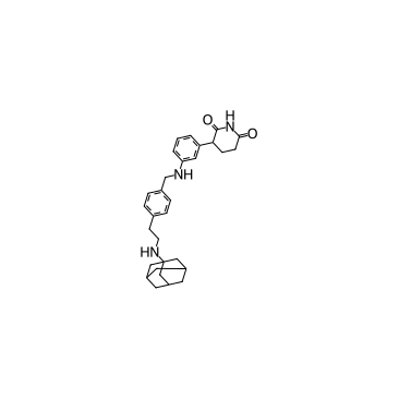 O=C1CCC(c2cccc(NCc3ccc(CCNC45CC6CC(CC(C6)C4)C5)cc3)c2)C(=O)N1